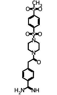 CS(=O)(=O)c1ccc(S(=O)(=O)N2CCN(C(=O)Cc3ccc(C(=N)N)cc3)CC2)cc1